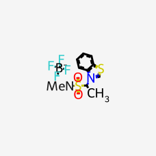 CNS(=O)(=O)C(C)[n+]1csc2ccccc21.F[B-](F)(F)F